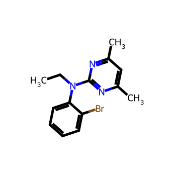 CCN(c1nc(C)cc(C)n1)c1ccccc1Br